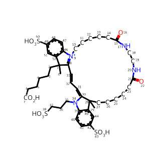 CC1(CCCCCC(=O)O)C2=[N+](CCCCCC(=O)NCCNC(=O)CCCCCC3(C)/C(=C/C=C/2)N(CCCS(=O)(=O)O)c2ccc(S(=O)(=O)O)cc23)c2ccc(S(=O)(=O)O)cc21